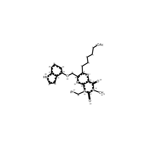 CC(=O)OCCCCCc1nc2c(=O)n(C)c(=O)n(CC(C)C)c2nc1COc1cccc2[nH]ccc12